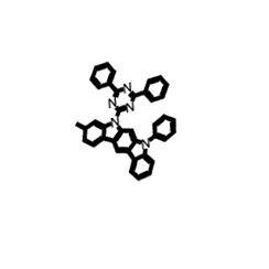 CC1C=c2c(c3cc4c5ccccc5n(-c5ccccc5)c4cc3n2-c2nc(-c3ccccc3)nc(-c3ccccc3)n2)=CC1